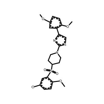 COc1ccc(OC)c(-c2csc(N3CCC(S(=O)(=O)c4cc(Cl)ccc4OC)CC3)n2)c1